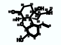 C=Cc1ccc(O)c2c1[C@@]1(CCNC)[C@@H](O2)C(=O)CC[C@]1(C)O